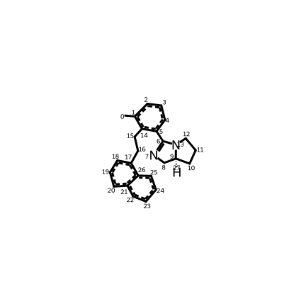 Cc1cccc(C2=NC[C@@H]3CCCN23)c1CCc1cccc2ccccc12